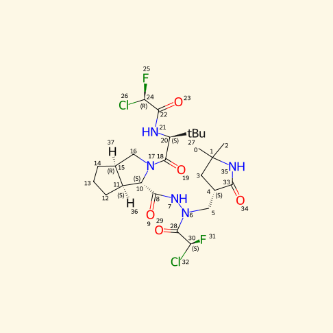 CC1(C)C[C@@H](CN(NC(=O)[C@@H]2[C@H]3CCC[C@H]3CN2C(=O)[C@@H](NC(=O)[C@H](F)Cl)C(C)(C)C)C(=O)[C@@H](F)Cl)C(=O)N1